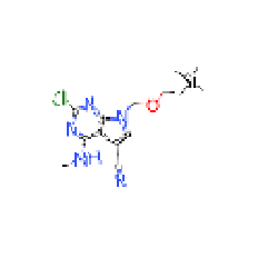 CNc1nc(Cl)nc2c1c(C#N)cn2COCC[Si](C)(C)C